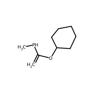 C=C(OC1CCCCC1)PC